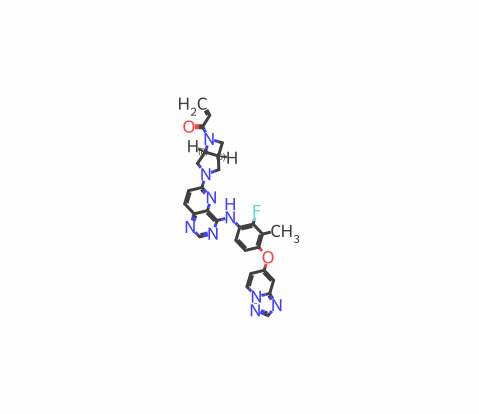 C=CC(=O)N1C[C@@H]2CN(c3ccc4ncnc(Nc5ccc(Oc6ccn7ncnc7c6)c(C)c5F)c4n3)C[C@@H]21